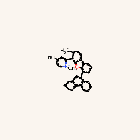 Cc1ccc2c(oc3c(-c4cc5ccccc5c5ccccc45)cccc32)c1-c1cc(C(C)(C)C)cc[n+]1C